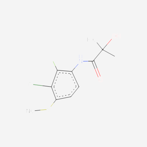 CC(O)(C(=O)Nc1ccc(SC#N)c(Cl)c1F)C(F)(F)F